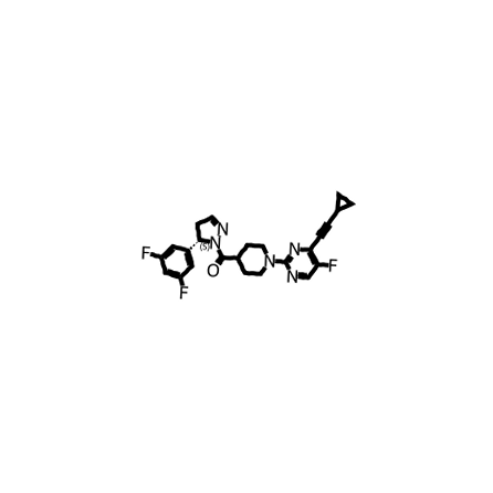 O=C(C1CCN(c2ncc(F)c(C#CC3CC3)n2)CC1)N1N=CC[C@H]1c1cc(F)cc(F)c1